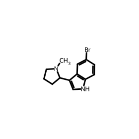 CN1CCCC1c1c[nH]c2ccc(Br)cc12